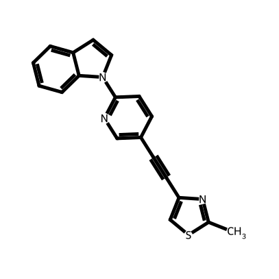 Cc1nc(C#Cc2ccc(-n3ccc4ccccc43)nc2)cs1